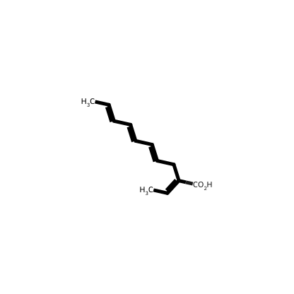 CC=CC=CC=CCC(=CC)C(=O)O